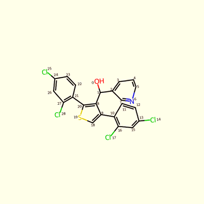 OC(c1cccnc1)c1c(-c2ccc(Cl)cc2Cl)csc1-c1ccc(Cl)cc1Cl